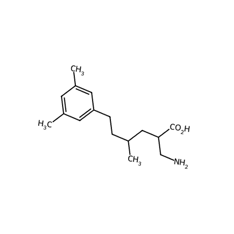 Cc1cc(C)cc(CCC(C)CC(CN)C(=O)O)c1